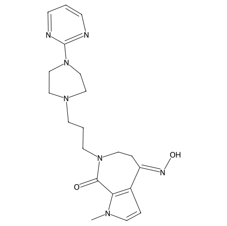 Cn1ccc2c1C(=O)N(CCCN1CCN(c3ncccn3)CC1)CCC2=NO